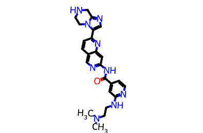 CN(C)CCNc1cc(C(=O)Nc2cc3nc(-c4cnc5n4CCNC5)ccc3cn2)ccn1